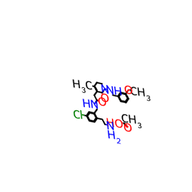 CC(=O)O.COc1cccc(CNN2CCC(C)=C(CC(=O)NCc3cc(Cl)ccc3CCN)C2=O)c1